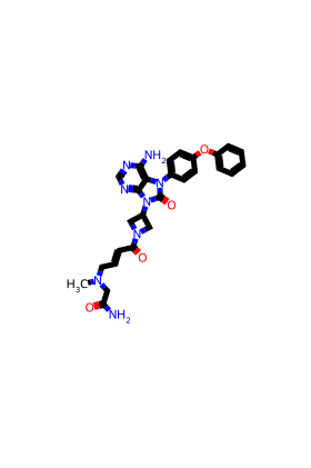 CN(CC=CC(=O)N1CC(n2c(=O)n(-c3ccc(Oc4ccccc4)cc3)c3c(N)ncnc32)C1)CC(N)=O